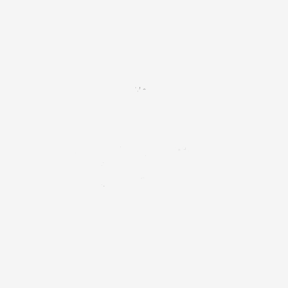 C=C(CC(=O)OC(CCC)CCCC)C(=O)OCC(C)OC